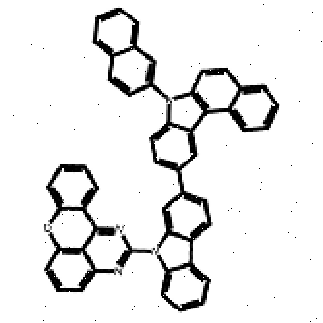 c1ccc2c(c1)Oc1cccc3nc(-n4c5ccccc5c5ccc(-c6ccc7c(c6)c6c8ccccc8ccc6n7-c6ccc7ccccc7c6)cc54)nc-2c13